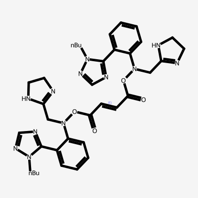 CCCCn1ncnc1-c1ccccc1N(CC1=NCCN1)OC(=O)/C=C/C(=O)ON(CC1=NCCN1)c1ccccc1-c1ncnn1CCCC